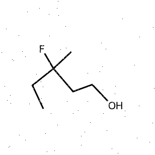 CCC(C)(F)CCO